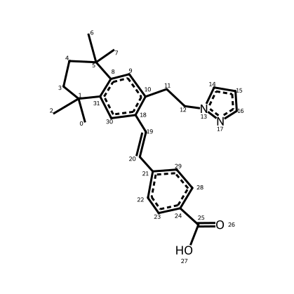 CC1(C)CCC(C)(C)c2cc(CCn3cccn3)c(C=Cc3ccc(C(=O)O)cc3)cc21